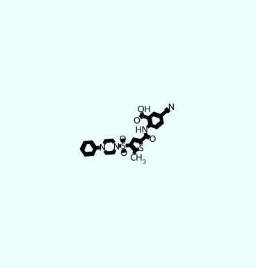 Cc1sc(C(=O)Nc2ccc(C#N)cc2C(=O)O)cc1S(=O)(=O)N1CCN(c2ccccc2)CC1